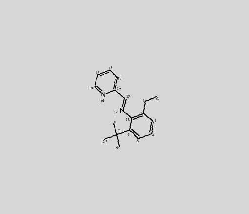 CCc1cccc(C(C)(C)C)c1N=Cc1ccccn1